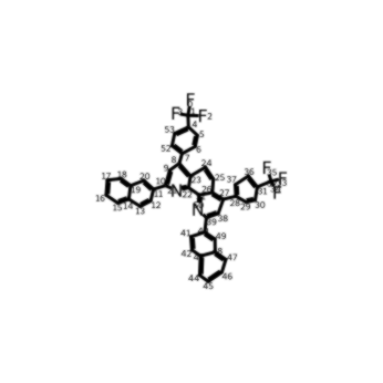 FC(F)(F)c1ccc(-c2cc(-c3ccc4ccccc4c3)nc3c2ccc2c(-c4ccc(C(F)(F)F)cc4)cc(-c4ccc5ccccc5c4)nc23)cc1